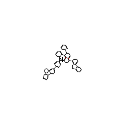 c1ccc(-c2ccccc2-c2ccccc2N(c2ccc(-c3ccc4c(c3)oc3ccccc34)cc2)c2ccc(-c3cccc4c3ccc3ccccc34)cc2)cc1